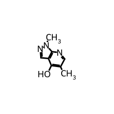 Cc1cnc2c(cnn2C)c1O